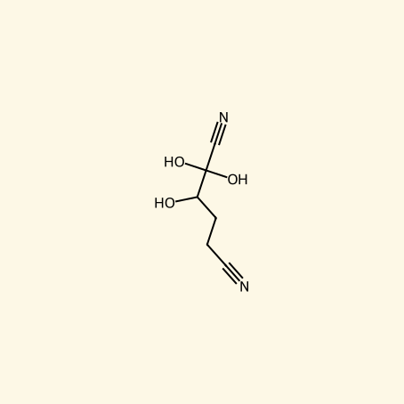 N#CCCC(O)C(O)(O)C#N